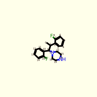 C[C](c1ccccc1F)C(c1ccccc1F)N1CCNCC1